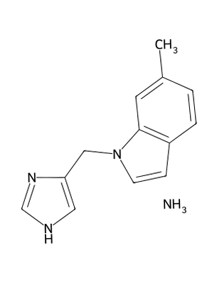 Cc1ccc2ccn(Cc3c[nH]cn3)c2c1.N